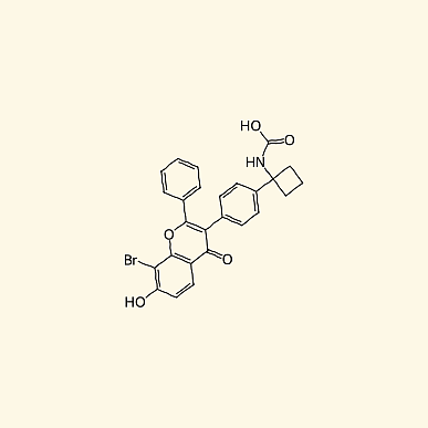 O=C(O)NC1(c2ccc(-c3c(-c4ccccc4)oc4c(Br)c(O)ccc4c3=O)cc2)CCC1